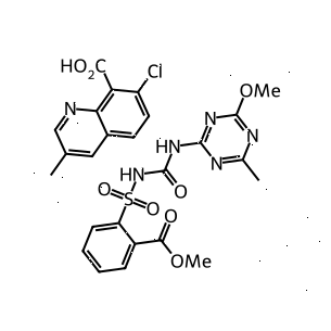 COC(=O)c1ccccc1S(=O)(=O)NC(=O)Nc1nc(C)nc(OC)n1.Cc1cnc2c(C(=O)O)c(Cl)ccc2c1